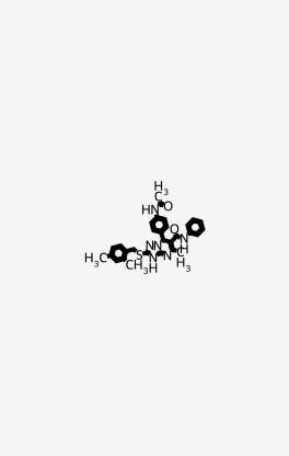 CC(=O)Nc1ccc(C2C(C(=O)Nc3ccccc3)=C(C)N=C3NC(SCc4ccc(C)cc4C)=NN32)cc1